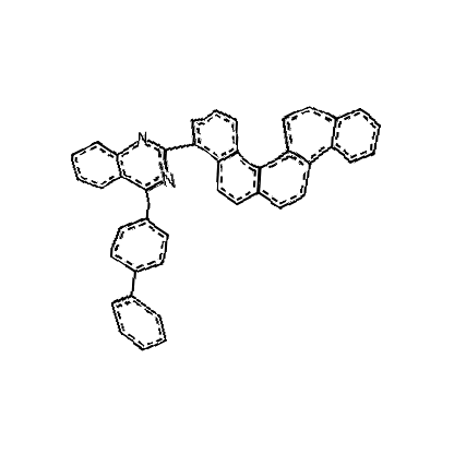 c1ccc(-c2ccc(-c3nc(-c4cccc5c4ccc4ccc6c7ccccc7ccc6c45)nc4ccccc34)cc2)cc1